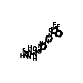 O=C(Nc1n[nH]c(=S)[nH]1)Oc1ccc(N2CCN(C(=O)c3ccccc3C(F)(F)F)CC2)nn1